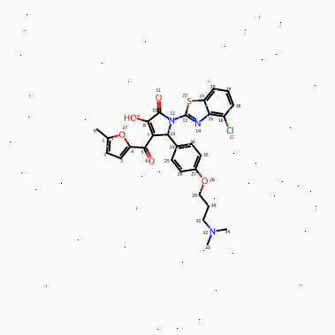 Cc1ccc(C(=O)C2=C(O)C(=O)N(c3nc4c(Cl)cccc4s3)C2c2ccc(OCCCN(C)C)cc2)o1